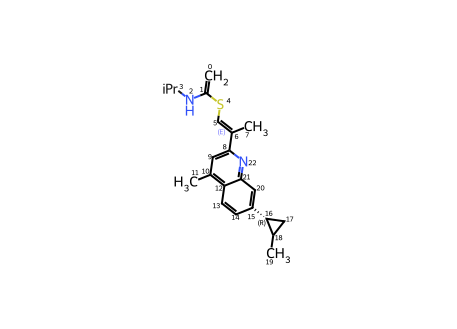 C=C(NC(C)C)S/C=C(\C)c1cc(C)c2ccc([C@@H]3CC3C)cc2n1